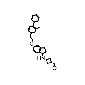 Cc1cc(CCOc2ccc3c(c2)CCC3N[C@H]2C[C@H](C=O)C2)ccc1-c1ccccc1